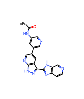 CCCC(=O)Nc1cncc(-c2cnc3[nH]nc(-c4nc5ccncc5[nH]4)c3c2)c1